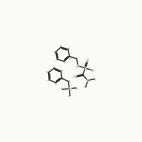 CN(C)C(=O)P(=O)([O-])OCc1ccccc1.C[N+](C)(C)Cc1ccccc1